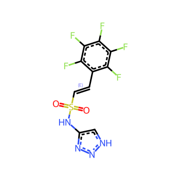 O=S(=O)(/C=C/c1c(F)c(F)c(F)c(F)c1F)Nc1c[nH]nn1